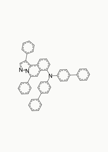 c1ccc(-c2ccc(N(c3ccc(-c4ccccc4)cc3)c3cccc4c3cc(-c3ccccc3)n3ncc(-c5ccccc5)c43)cc2)cc1